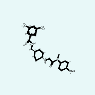 COC1CCC(N(C)C(=O)CN[C@H]2CC[C@H](CNC(=O)c3cc(C(F)(F)F)cc(C(F)(F)F)c3)CC2)CC1